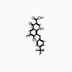 O=C(O)c1c[nH]c2c(Cc3ccc(C(F)(F)F)cc3)c(Cl)c(F)cc2c1=O